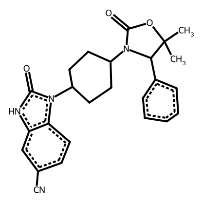 CC1(C)OC(=O)N(C2CCC(n3c(=O)[nH]c4cc(C#N)ccc43)CC2)C1c1ccccc1